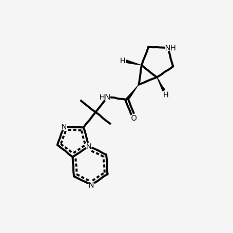 CC(C)(NC(=O)[C@H]1[C@@H]2CNC[C@@H]21)c1ncc2cnccn12